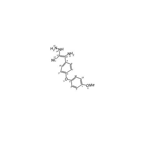 COc1ccc(Oc2ccc(/C(N)=C(\C#N)NN)cc2)cc1